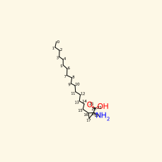 CCCCCCCCCCCCCCCCC1CC1(N)C(=O)O